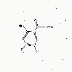 COC(=O)c1nc(Cl)c(F)cc1C(C)(C)C